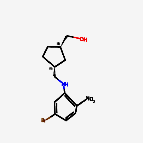 O=[N+]([O-])c1ccc(Br)cc1NC[C@@H]1CC[C@H](CO)C1